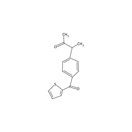 CC(=O)C(C)c1ccc(C(=O)c2cccs2)cc1